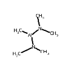 C[N](C)[Al]([CH3])[N](C)C